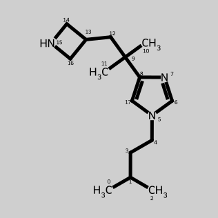 CC(C)CCn1cnc(C(C)(C)CC2CNC2)c1